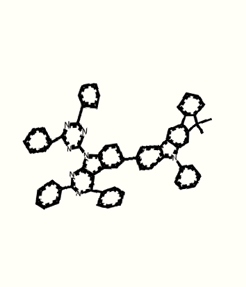 CC1(C)c2ccccc2-c2cc3c4cc(-c5ccc6c(c5)c5c(-c7ccccc7)nc(-c7ccccc7)nc5n6-c5nc(-c6ccccc6)nc(-c6ccccc6)n5)ccc4n(-c4ccccc4)c3cc21